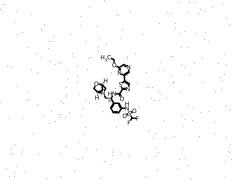 CCOc1cncc(-c2cnc(C(=O)N[C@H](CN3C[C@H]4C[C@@H]3CO4)c3cccc(NS(=O)(=O)C(F)F)c3)s2)n1